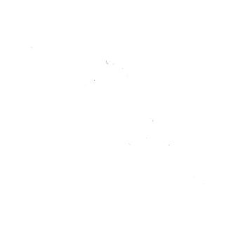 CCCCc1ccc(C(=O)Nc2ccc(NC(=O)c3ccc(N)cc3)cc2C(=O)OC)cc1